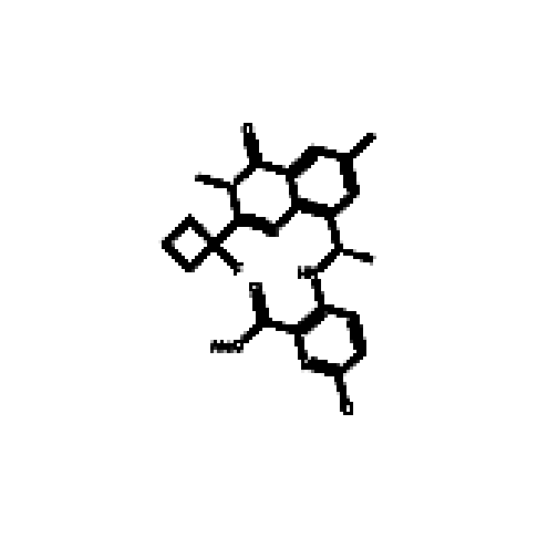 COC(=O)c1nc(Cl)ccc1N[C@H](C)c1cc(C)cc2c(=O)n(C)c(C3(F)CCC3)nc12